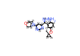 CC1(Oc2ccc(N)c(C(=N)c3cc(N4CC5CC4CO5)ncn3)c2)CC1